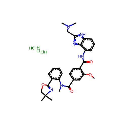 COc1cc(C(=O)N(C)c2ccccc2C2=NC(C)(C)CO2)ccc1C(=O)Nc1cccc2[nH]c(CN(C)C)nc12.Cl.Cl.Cl